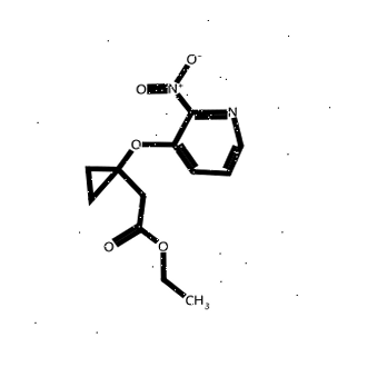 CCOC(=O)CC1(Oc2cccnc2[N+](=O)[O-])CC1